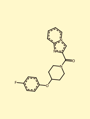 O=C(c1cn2ccccc2n1)N1CCC(Oc2ccc(F)cc2)CC1